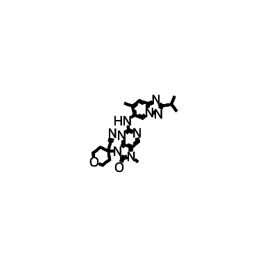 Cc1cc2nc(C(C)C)nn2cc1Nc1ncc2c(n1)n(C1(C#N)CCOCC1)c(=O)n2C